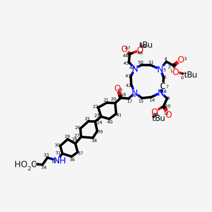 CC(C)(C)OC(=O)CN1CCN(CC(=O)OC(C)(C)C)CCN(CC(=O)C2CCC(C3CCC(C4CCC(NCCC(=O)O)CC4)CC3)CC2)CCN(CC(=O)OC(C)(C)C)CC1